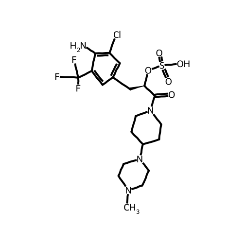 CN1CCN(C2CCN(C(=O)[C@@H](Cc3cc(Cl)c(N)c(C(F)(F)F)c3)OS(=O)(=O)O)CC2)CC1